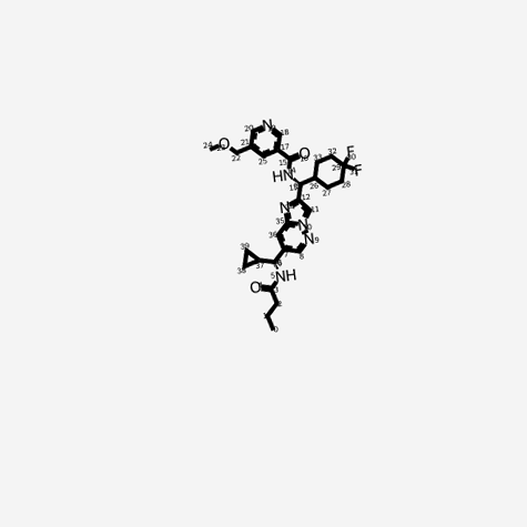 CCCC(=O)N[C@@H](c1cnn2cc([C@@H](NC(=O)c3cncc(COC)c3)C3CCC(F)(F)CC3)nc2c1)C1CC1